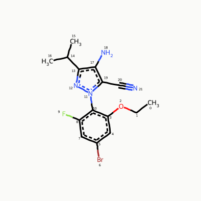 CCOc1cc(Br)cc(F)c1-n1nc(C(C)C)c(N)c1C#N